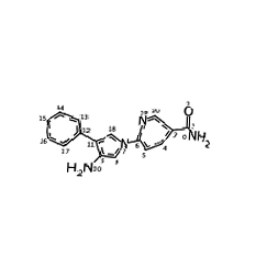 NC(=O)c1ccc(-n2cc(N)c(-c3ccccc3)c2)nc1